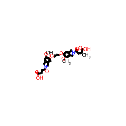 COc1cc2c(cc1OCCCOc1cc3c(cc1OC)CN(C(=O)C[C@H](C)C(=O)O)C3)CN(C(=O)CCC(=O)O)C2